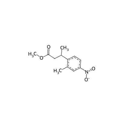 COC(=O)CC(C)c1ccc([N+](=O)[O-])cc1C